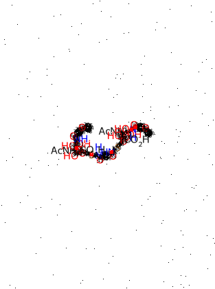 CC(=O)N[C@H]1[C@H]([C@H](O)[C@H](O)CNC(=O)c2ccc(Oc3ccccc3)cc2)O[C@@](OCCCSCCNC(=O)c2ccc(C(=O)NCCSCCCO[C@]3(C(=O)O)C[C@H](O)[C@@H](NC(C)=O)[C@H]([C@H](O)[C@@H](O)CNC(=O)c4ccc(Oc5ccccc5)cc4)O3)cc2)(C(=O)O)C[C@@H]1O